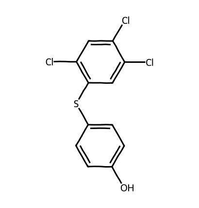 Oc1ccc(Sc2cc(Cl)c(Cl)cc2Cl)cc1